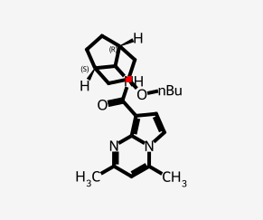 CCCCOC1C[C@H]2CC[C@@H](C1)C2NC(=O)c1ccn2c(C)cc(C)nc12